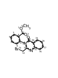 COC(=O)c1ccccc1-n1c(CBr)nc2ccccc2c1=O